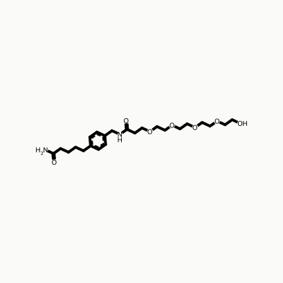 NC(=O)CCCCc1ccc(CNC(=O)CCOCCOCCOCCOCCO)cc1